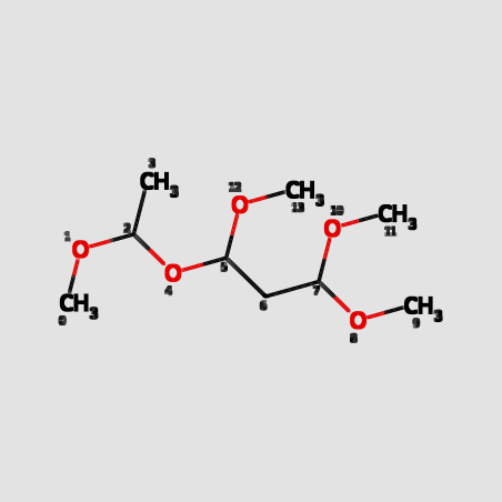 COC(C)OC(CC(OC)OC)OC